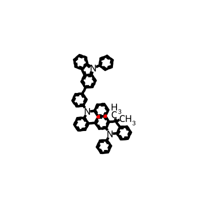 CC1(C)c2ccccc2N(c2ccccc2)c2cc(-c3ccccc3N(c3ccccc3)c3cccc(-c4ccc5c(c4)c4ccccc4n5-c4ccccc4)c3)ccc21